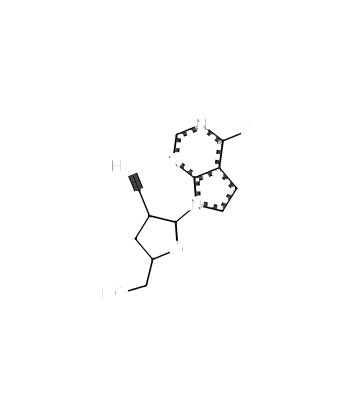 C#CC1CC(CO)OC1n1ccc2c(Cl)ncnc21